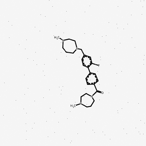 CN1CCCN(Cc2ccc(-c3ccc(C(=O)N4CCCN(C)CC4)cc3)c(F)c2)CC1